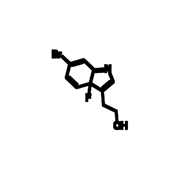 OCCC1=CN=C2C=C(Br)C=CC12F